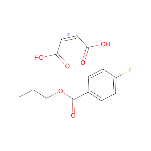 CCCOC(=O)c1ccc(F)cc1.O=C(O)/C=C\C(=O)O